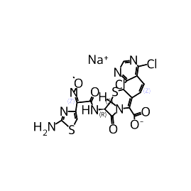 CO/N=C(\C(=O)N[C@@H]1C(=O)N2C(C(=O)[O-])=C(/C=C\c3c(Cl)ncnc3Cl)CS[C@@H]12)c1csc(N)n1.[Na+]